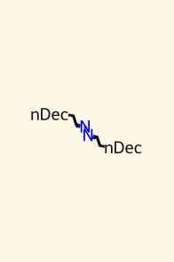 CCCCCCCCCCCC=NN=CCCCCCCCCCCC